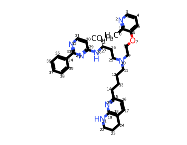 Cc1ncccc1OCCN(CCCCc1ccc2c(n1)NCCC2)CC[C@H](Nc1ccnc(-c2ccccc2)n1)C(=O)O